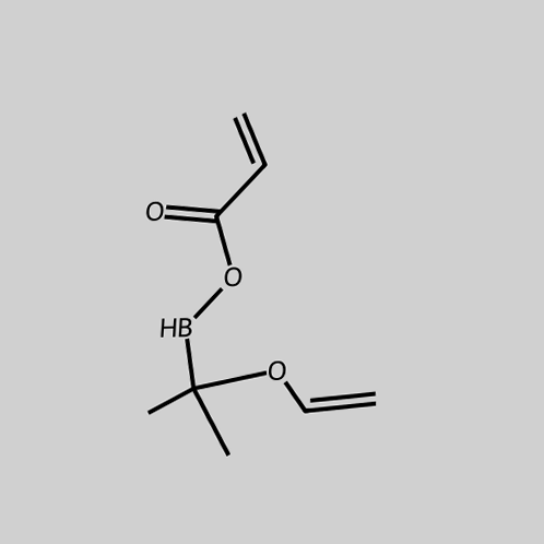 C=COC(C)(C)BOC(=O)C=C